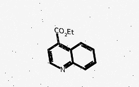 CCOC(=O)c1c[c]nc2ccccc12